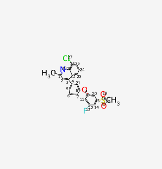 Cc1cc(-c2cccc(Oc3cc(F)cc(S(C)(=O)=O)c3)c2)c2cccc(Cl)c2n1